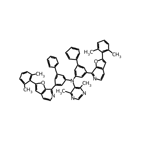 Cc1cccc(C)c1-c1cc2ccnc(-c3cc(-c4ccccc4)cc(N(c4cc(-c5ccccc5)cc(-c5nccc6cc(-c7c(C)cccc7C)oc56)c4)c4c(C)ncnc4C)c3)c2o1